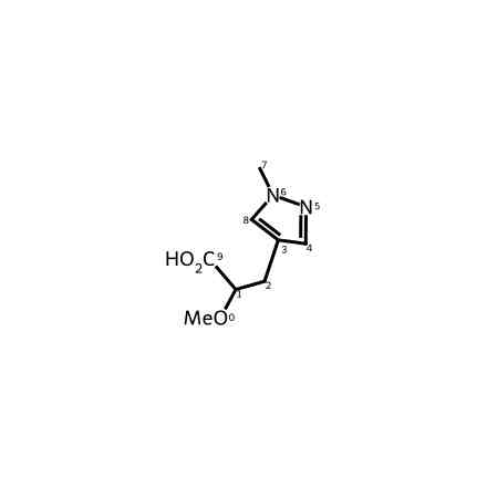 COC(Cc1cnn(C)c1)C(=O)O